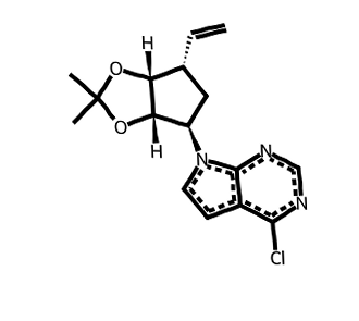 C=C[C@@H]1C[C@@H](n2ccc3c(Cl)ncnc32)[C@@H]2OC(C)(C)O[C@@H]21